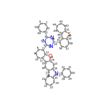 c1ccc(-c2nc(-c3cccc4c3oc3cc5c(cc34)c3ccccc3n5-c3ccccc3)nc(-c3cccc4sc5ccccc5c34)n2)cc1